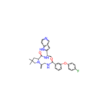 C=C(CNC(=O)c1cccc(Oc2ccc(F)cc2)c1)N1CC(C)(C)CC1C(=O)N[C@H](C)c1cc2cnccc2[nH]1